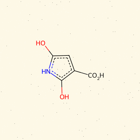 O=C(O)c1cc(O)[nH]c1O